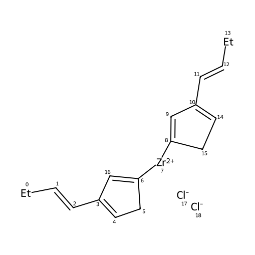 CC/C=C/C1=CC[C]([Zr+2][C]2=CC(/C=C/CC)=CC2)=C1.[Cl-].[Cl-]